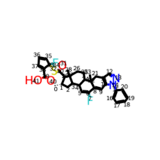 C[C@H]1CC2C3C=C(F)C4=Cc5c(cnn5-c5ccccc5)CC4(C)C3CCC2(C)C1C(=O)SC1(F)C=CC=C1C(=O)O